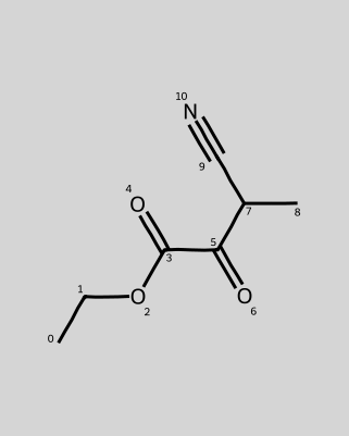 CCOC(=O)C(=O)C(C)C#N